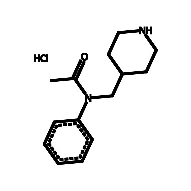 CC(=O)N(CC1CCNCC1)c1ccccc1.Cl